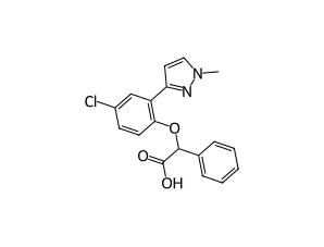 Cn1ccc(-c2cc(Cl)ccc2OC(C(=O)O)c2ccccc2)n1